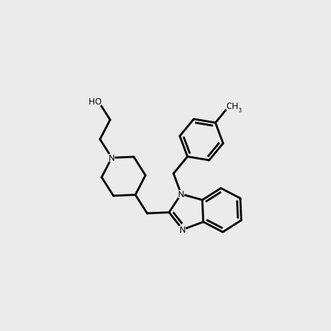 Cc1ccc(Cn2c(CC3CCN(CCO)CC3)nc3ccccc32)cc1